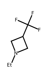 CCN1CC(C(F)(F)F)C1